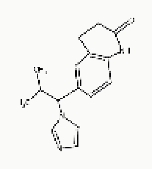 CC(C)C(c1ccc2c(c1)CCC(=O)N2)n1ccnc1